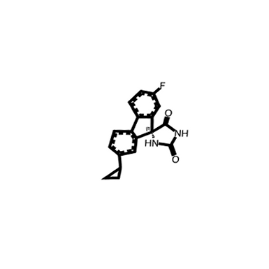 O=C1NC(=O)[C@]2(N1)c1cc(F)ccc1-c1ccc(C3CC3)cc12